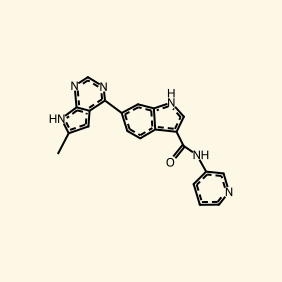 Cc1cc2c(-c3ccc4c(C(=O)Nc5cccnc5)c[nH]c4c3)ncnc2[nH]1